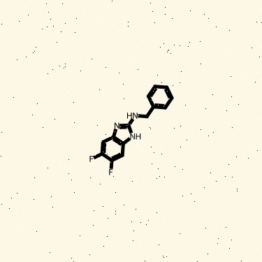 Fc1cc2nc(NCc3ccccc3)[nH]c2cc1F